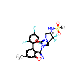 CCS(=O)(=O)N[C@@H]1Cn2c(cn(-c3noc4cc(C(F)(F)F)cc(-c5c(F)cc(F)cc5F)c34)c2=O)C1(F)F